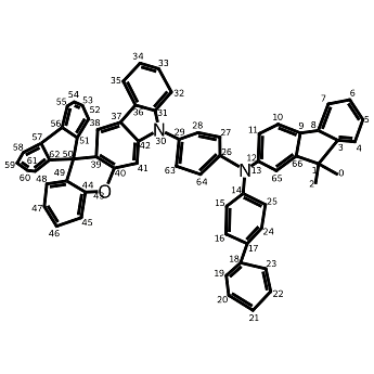 CC1(C)c2ccccc2-c2ccc(N(c3ccc(-c4ccccc4)cc3)c3ccc(-n4c5ccccc5c5cc6c(cc54)Oc4ccccc4C64c5ccccc5-c5ccccc54)cc3)cc21